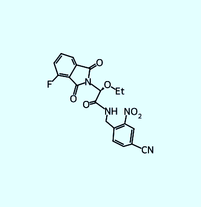 CCO[C@@H](C(=O)NCc1ccc(C#N)cc1[N+](=O)[O-])N1C(=O)c2cccc(F)c2C1=O